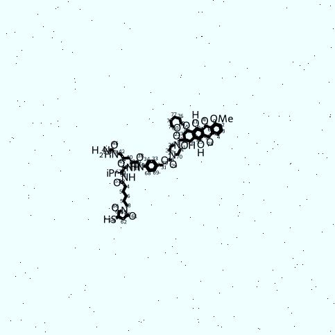 COc1cccc2c1C(=O)c1c(O)c3c(c(O)c1C2=O)C[C@@](O)(C(=O)N1CCN(C(=O)OCc2ccc(NC(=O)[C@H](CCCNC(N)=O)NC(=O)[C@@H](NC(=O)CCCCCN4C(=O)CC(S)C4=O)C(C)C)cc2)CC1)C[C@@H]3O[C@H]1CCCCO1